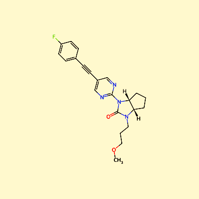 COCCCN1C(=O)N(c2ncc(C#Cc3ccc(F)cc3)cn2)[C@@H]2CCC[C@@H]21